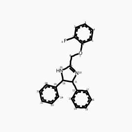 Fc1ccccc1OCC1=NC(c2ccccc2)C(c2ccccc2)N1